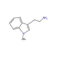 CCCCn1cc(CCN)c2ccccc21